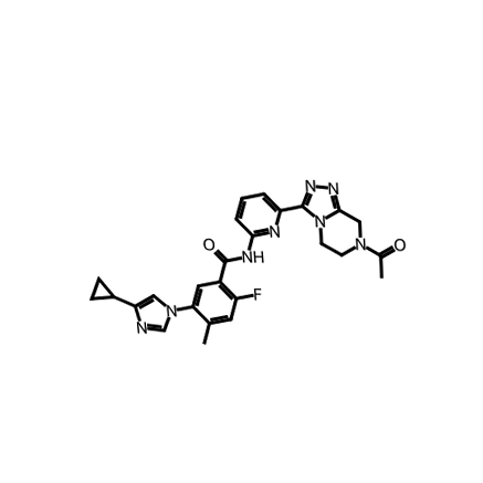 CC(=O)N1CCn2c(nnc2-c2cccc(NC(=O)c3cc(-n4cnc(C5CC5)c4)c(C)cc3F)n2)C1